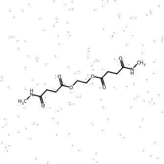 CNC(=O)CCC(=O)OCCOC(=O)CCC(=O)NC